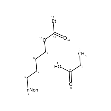 CCC(=O)O.CCCCCCCCCCCCCOC(=O)CC